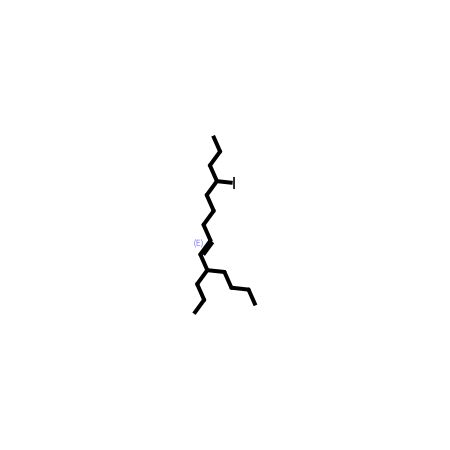 CCCCC(/C=C/CCCC(I)CCC)CCC